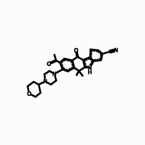 CC(=O)c1cc2c(cc1N1CCN(C3CCOCC3)CC1)C(C)(C)c1[nH]c3cc(C#N)ccc3c1C2=O